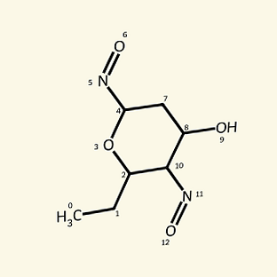 CCC1OC(N=O)CC(O)C1N=O